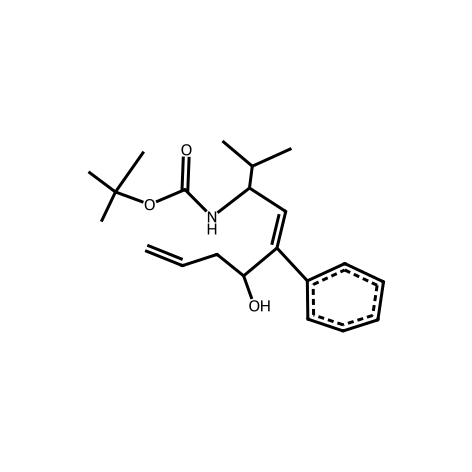 C=CCC(O)C(=CC(NC(=O)OC(C)(C)C)C(C)C)c1ccccc1